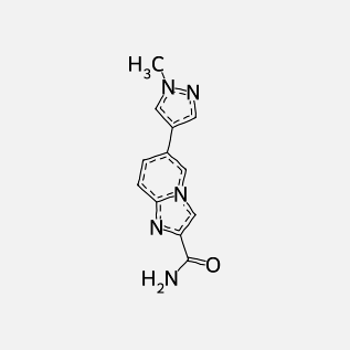 Cn1cc(-c2ccc3nc(C(N)=O)cn3c2)cn1